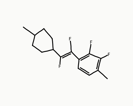 Cc1ccc(/C(F)=C(\F)C2CCC(C)CC2)c(F)c1F